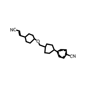 N#CC=CC1CCC(OCC2CCC(c3ccc(C#N)cc3)CC2)CC1